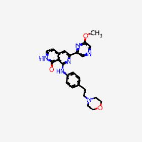 COc1cncc(-c2cc3cc[nH]c(=O)c3c(Nc3ccc(CCN4CCOCC4)cc3)n2)n1